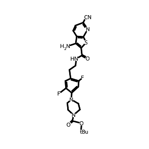 CC(C)(C)OC(=O)N1CCN(c2cc(F)c(CCNC(=O)c3sc4nc(C#N)ccc4c3N)cc2F)CC1